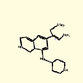 CN/C=C(\CNC)C1=CC2=CCNCC2C(NC2CCNCC2)=C1